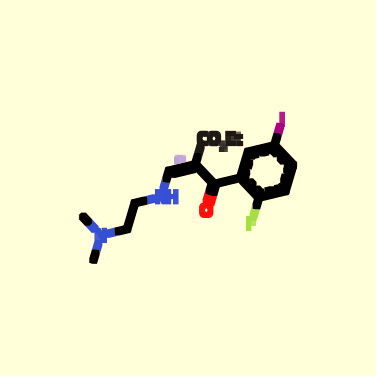 CCOC(=O)/C(=C/NCCN(C)C)C(=O)c1cc(I)ccc1F